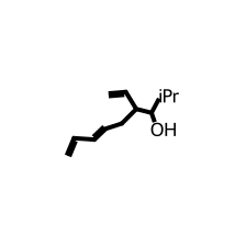 C=CC=CCC(C=C)C(O)C(C)C